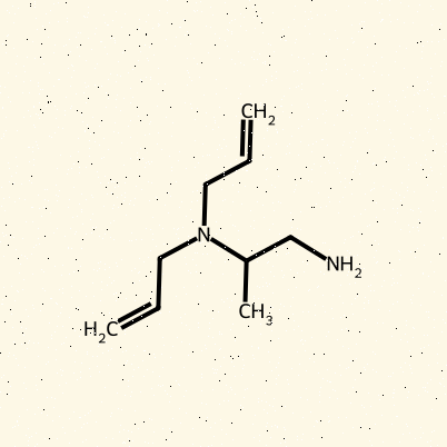 C=CCN(CC=C)C(C)CN